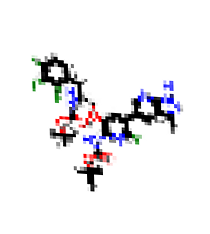 Cc1n[nH]c2ncc(-c3cc(OC[C@H](Cc4ccc(F)c(F)c4F)NC(=O)OC(C)(C)C)c(NC(=O)OC(C)(C)C)nc3Cl)cc12